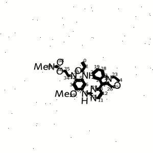 C=CC(=O)Nc1cc(Nc2nccc(-c3c4n(c5ccccc35)CCOC4)n2)c(OC)cc1N(C)CCOC(=O)NC